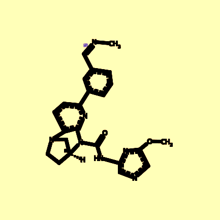 C/N=C\c1cccc(-c2ccc3c(n2)N(C(=O)Nc2cncc(OC)n2)[C@H]2CCN3C2)c1